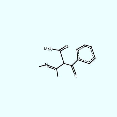 C/N=C(\C)C(C(=O)OC)C(=O)c1ccccc1